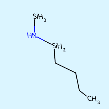 CCCC[SiH2]N[SiH3]